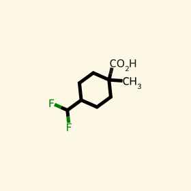 CC1(C(=O)O)CCC(C(F)F)CC1